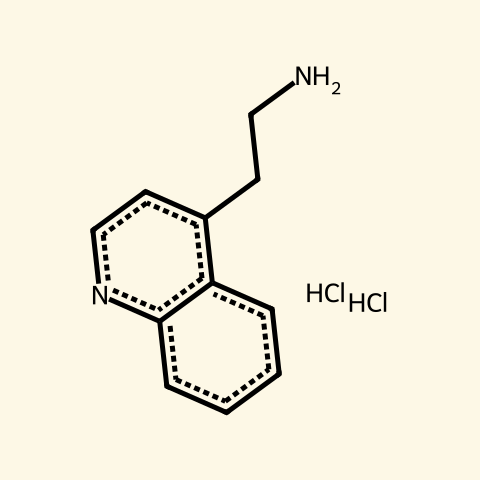 Cl.Cl.NCCc1ccnc2ccccc12